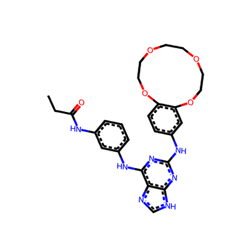 CCC(=O)Nc1cccc(Nc2nc(Nc3ccc4c(c3)OCCOCCOCCO4)nc3[nH]cnc23)c1